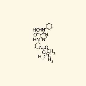 CC(C)(C)OC(=O)N1CCC[C@@H](Nc2ncnc(Nc3ccccc3)c2C(=O)O)C1